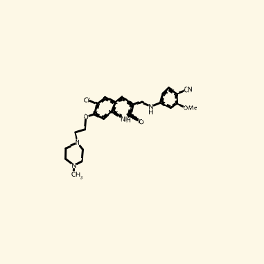 COc1cc(NCc2cc3cc(Cl)c(OCCN4CCN(C)CC4)cc3[nH]c2=O)ccc1C#N